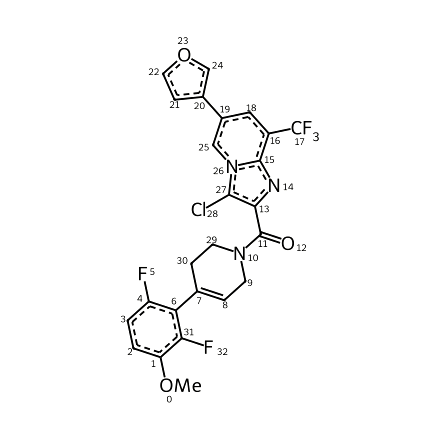 COc1ccc(F)c(C2=CCN(C(=O)c3nc4c(C(F)(F)F)cc(-c5ccoc5)cn4c3Cl)CC2)c1F